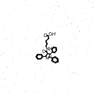 O=C(O)CCCCNC(=O)C1C(c2ccccc2)=NN(c2ccccc2)C1c1ccccc1